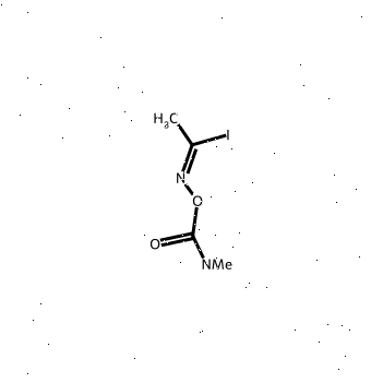 CNC(=O)O/N=C(/C)I